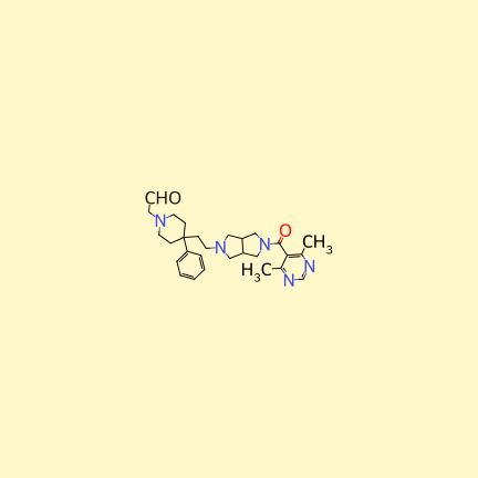 Cc1ncnc(C)c1C(=O)N1CC2CN(CCC3(c4ccccc4)CCN(CC=O)CC3)CC2C1